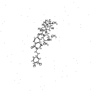 C[C@H]1[C@@H](NC(=Nc2ccc3c(=O)n(CCc4ccc(Cl)c(Cl)c4)cnc3c2)N2C[C@@H](C)N[C@@H](C)C2)C[C@H]2C[C@H]1C2(C)C